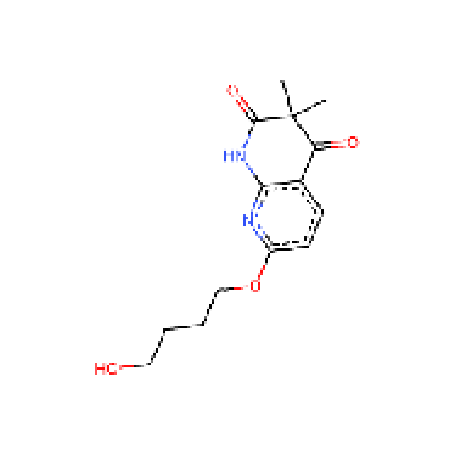 CC1(C)C(=O)Nc2nc(OCCCCO)ccc2C1=O